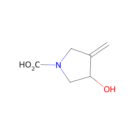 C=C1CN(C(=O)O)CC1O